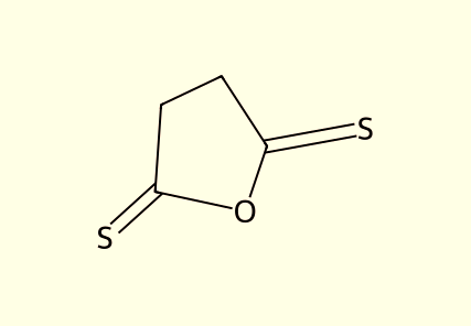 S=C1CCC(=S)O1